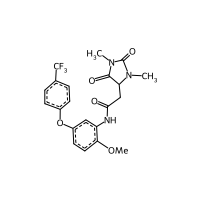 COc1ccc(Oc2ccc(C(F)(F)F)cc2)cc1NC(=O)CC1C(=O)N(C)C(=O)N1C